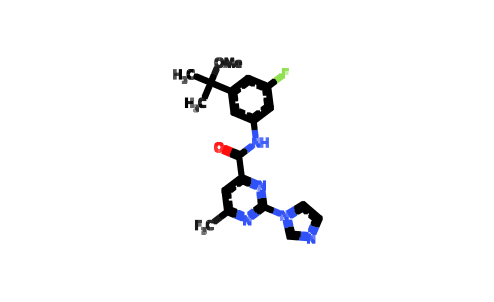 COC(C)(C)c1cc(F)cc(NC(=O)c2cc(C(F)(F)F)nc(-n3ccnc3)n2)c1